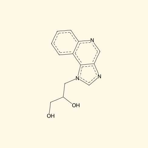 OCC(O)Cn1cnc2cnc3ccccc3c21